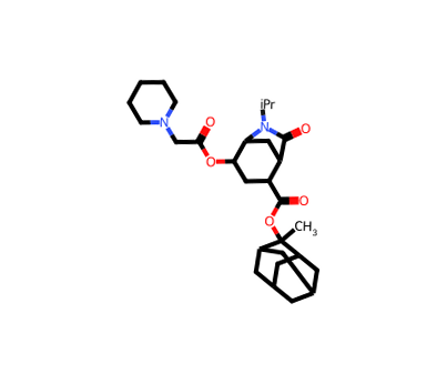 CC(C)N1C(=O)C2CC1C(OC(=O)CN1CCCCC1)CC2C(=O)OC1(C)C2CC3CC(C2)CC1C3